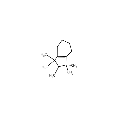 CC1C(C)(C)C2=C(CCCC2)C1(C)C